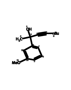 CCCCC#CC(C)(O)c1cccc(OC)c1